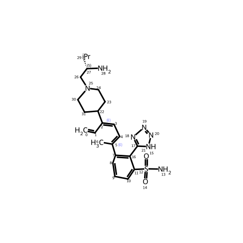 C=C/C(=C\C=C(/C)c1cccc(S(N)(=O)=O)c1-c1nnn[nH]1)C1CCN(C[C@@H](N)C(C)C)CC1